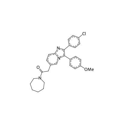 COc1ccc(-c2c(-c3ccc(Cl)cc3)nc3ccc(CC(=O)N4CCCCCC4)cn23)cc1